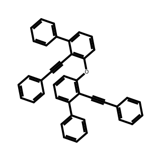 C(#Cc1c(Oc2cccc(-c3ccccc3)c2C#Cc2ccccc2)cccc1-c1ccccc1)c1ccccc1